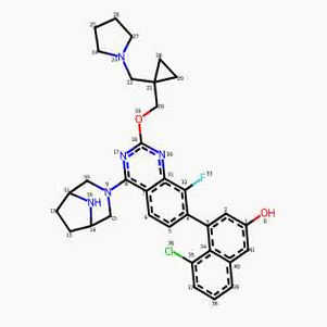 Oc1cc(-c2ccc3c(N4CC5CCC(C4)N5)nc(OCC4(CN5CCCC5)CC4)nc3c2F)c2c(Cl)cccc2c1